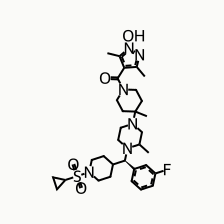 Cc1nn(O)c(C)c1C(=O)N1CCC(C)(N2CCN([C@@H](c3cccc(F)c3)C3CCN(S(=O)(=O)C4CC4)CC3)C(C)C2)CC1